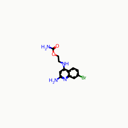 NC(=O)OCCNc1cc(N)nc2cc(Br)ccc12